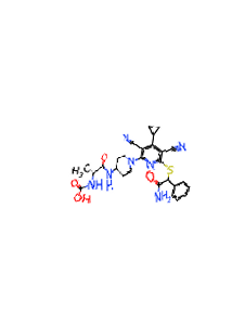 C[C@@H](NC(=O)O)C(=O)NC1CCN(c2nc(SC(C(N)=O)c3ccccc3)c(C#N)c(C3CC3)c2C#N)CC1